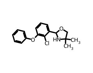 CC1(C)COC(c2cccc(Oc3ccccc3)c2Cl)N1